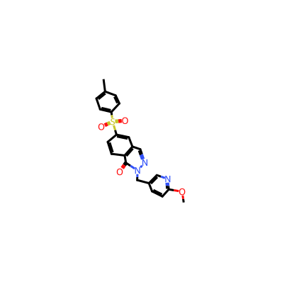 COc1ccc(Cn2ncc3cc(S(=O)(=O)c4ccc(C)cc4)ccc3c2=O)cn1